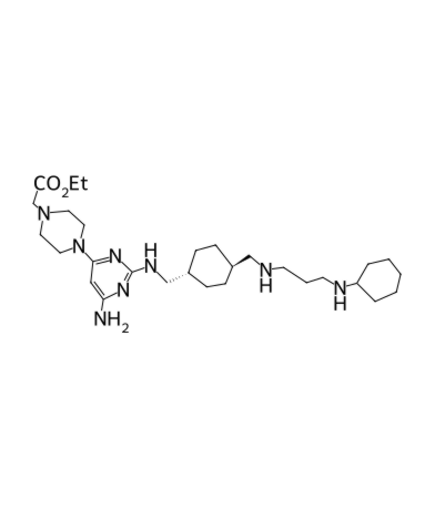 CCOC(=O)CN1CCN(c2cc(N)nc(NC[C@H]3CC[C@H](CNCCCNC4CCCCC4)CC3)n2)CC1